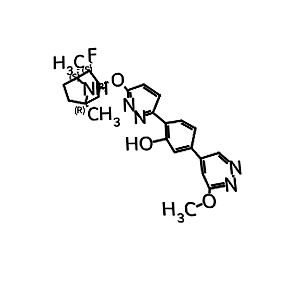 COc1cc(-c2ccc(-c3ccc(O[C@@H]4C[C@@]5(C)CC[C@](C)(N5)[C@@H]4F)nn3)c(O)c2)cnn1